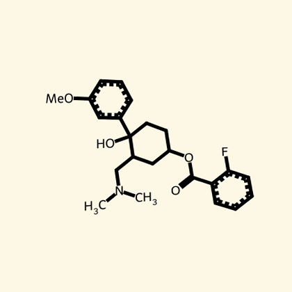 COc1cccc(C2(O)CCC(OC(=O)c3ccccc3F)CC2CN(C)C)c1